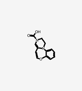 O=C(O)N1C=C2C=COc3ccccc3N2CC1